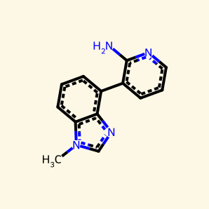 Cn1cnc2c(-c3cccnc3N)cccc21